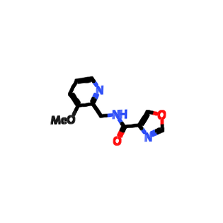 COc1cccnc1CNC(=O)c1cocn1